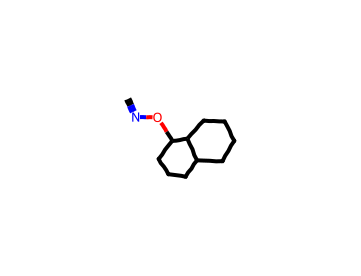 C=NOC1CCCC2CCCCC21